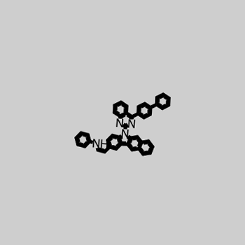 C(=C/c1ccc2c(c1)c1cc3ccccc3cc1n2-c1nc(-c2ccc(-c3ccccc3)cc2)c2ccccc2n1)/Nc1ccccc1